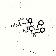 CCOCC(=O)OCOc1c(OC)ccnc1C(=O)N[C@@H](C)C(=O)O[C@@H](C)[C@@H](COCc1ccccc1)Cc1ccccc1